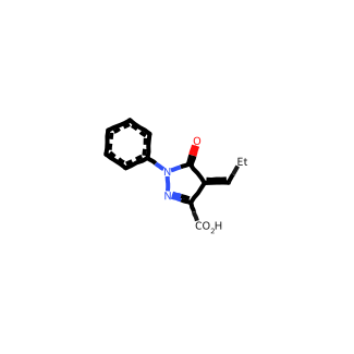 CC/C=C1\C(=O)N(c2ccccc2)N=C1C(=O)O